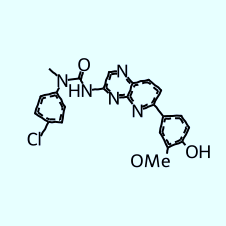 COc1cc(-c2ccc3ncc(NC(=O)N(C)c4ccc(Cl)cc4)nc3n2)ccc1O